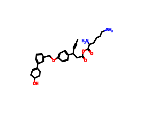 CC#CC(CC(=O)OC(=O)[C@@H](N)CCCCN)c1ccc(OCc2cccc(C3=CCC(O)CC3)c2)cc1